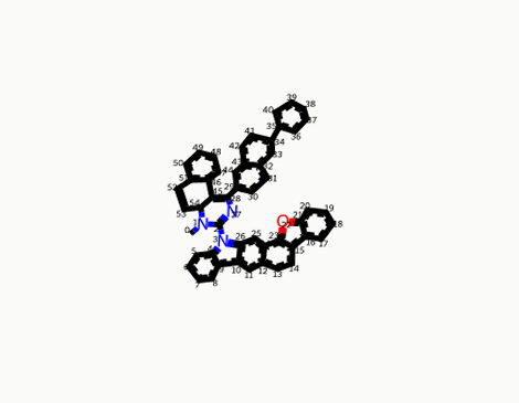 CN1C(n2c3ccccc3c3cc4ccc5c6ccccc6oc5c4cc32)=NC(c2ccc3cc(-c4ccccc4)ccc3c2)=C2c3ccccc3C=CC21